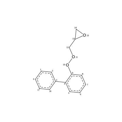 c1ccc(-c2ccccc2OOCC2CO2)cc1